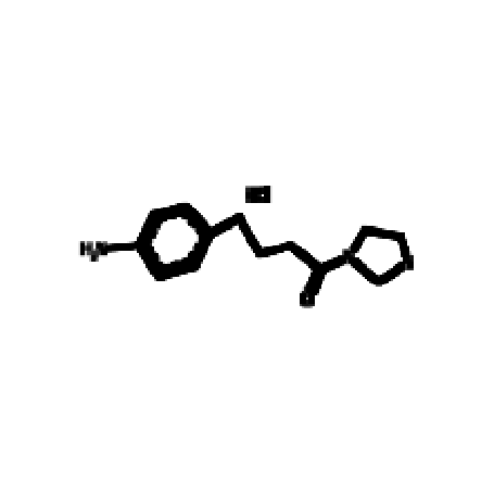 Cl.Nc1ccc(CCCC(=O)N2CCSC2)cc1